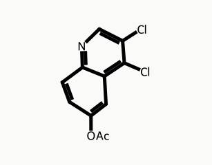 CC(=O)Oc1ccc2ncc(Cl)c(Cl)c2c1